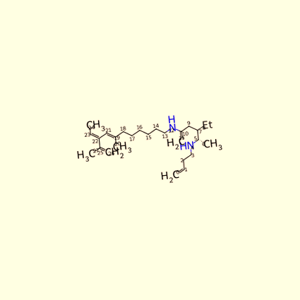 C=CCCN[C@@H](C)C(CC)CC(=C)NCCCCCC/C(C)=C/C(=C\C)C(=C)C